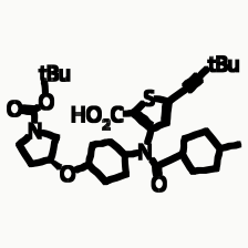 CC1CCC(C(=O)N(c2cc(C#CC(C)(C)C)sc2C(=O)O)C2CCC(O[C@H]3CCN(C(=O)OC(C)(C)C)C3)CC2)CC1